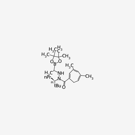 CCC[C@@H](N(NC(C)B1OC(C)(C)C(C)(C)O1)C(=O)C1=CC(C)=CC(C)=CC1)C(C)(C)C